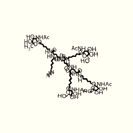 CC(=O)N[C@H]1[C@H](OCCCCCCNC(=O)C(CCC(=O)NC(CCC(=O)NC(CCC(=O)NCCCCCCO[C@@H]2O[C@H](CO)[C@H](O)[C@H](O)[C@H]2NC(C)=O)C(=O)NCCCCCCO[C@@H]2O[C@H](CO)[C@H](O)[C@H](O)[C@H]2NC(C)=O)C(=O)NCCCCCCO[C@@H]2O[C@H](CO)[C@H](O)[C@H](O)[C@H]2NC(C)=O)NC(=O)CCCCCN=[N+]=[N-])O[C@H](C)[C@H](O)[C@@H]1O